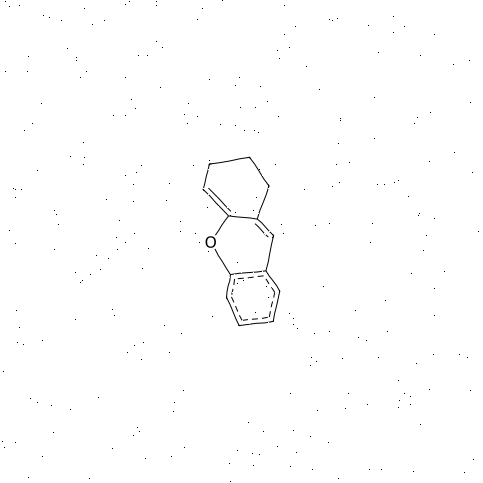 C1=C2CCCC=C2Oc2ccccc21